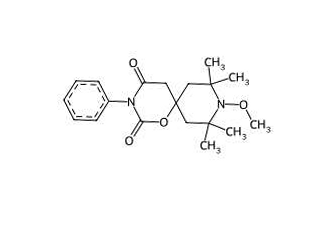 CON1C(C)(C)CC2(CC(=O)N(c3ccccc3)C(=O)O2)CC1(C)C